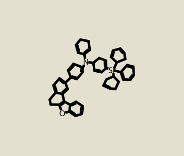 C1=CCC([Si](C2=CCC(N(C3=CCCC=C3)c3ccc(-c4ccc5c(c4)-c4c(oc6ccccc46)CC5)cc3)C=C2)(c2ccccc2)C2CC=CCC2)C=C1